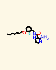 CCCCC=CCOc1cccc(CNC(=O)c2cccnc2N)c1F